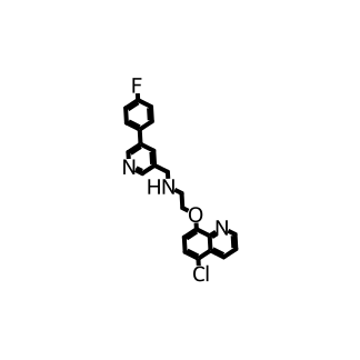 Fc1ccc(-c2cncc(CNCCOc3ccc(Cl)c4cccnc34)c2)cc1